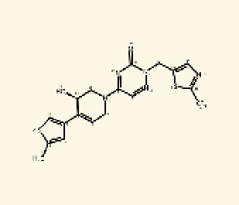 Cc1cc(C2=CCN(c3cnn(Cc4cnc(C(F)(F)F)s4)c(=O)n3)C[C@@H]2O)cs1